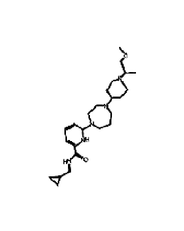 COCC(C)N1CCC(N2CCCN(C3C=CC=C(C(=O)NCC4CC4)N3)CC2)CC1